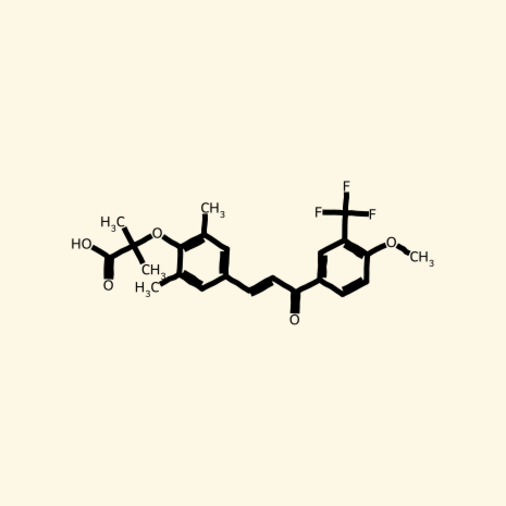 COc1ccc(C(=O)C=Cc2cc(C)c(OC(C)(C)C(=O)O)c(C)c2)cc1C(F)(F)F